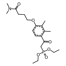 CCOP(=O)(CC(=O)c1ccc(OCCCC(=O)N(C)C)c(C)c1C)OCC